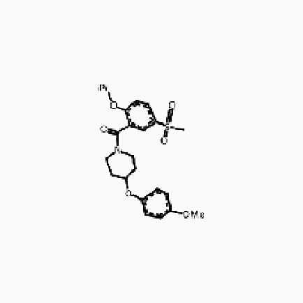 COc1ccc(OC2CCN(C(=O)c3cc(S(C)(=O)=O)ccc3OC(C)C)CC2)cc1